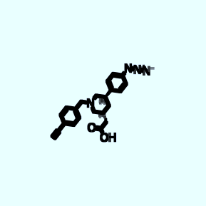 C#Cc1ccc(CN2C[C@@H](CC(=O)O)C[C@H](c3ccc(N=[N+]=[N-])cc3)C2)cc1